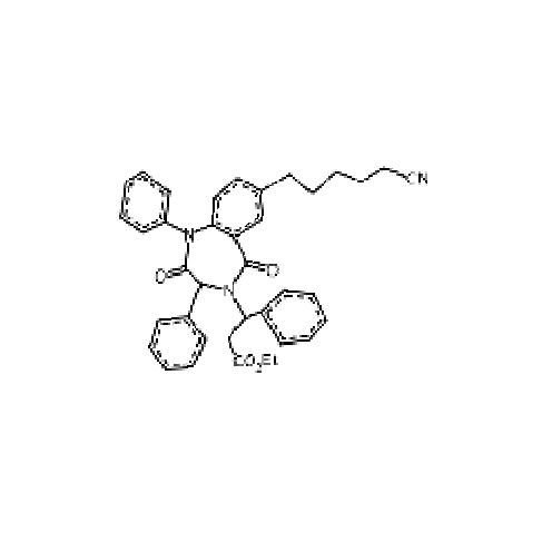 CCOC(=O)CC(c1ccccc1)N1C(=O)c2cc(CCCCCC#N)ccc2N(c2ccccc2)C(=O)C1c1ccccc1